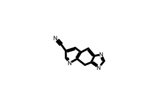 N#Cc1cnc2c(c1)C=C1N=CN=C1C2